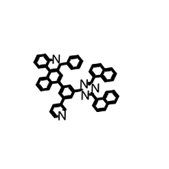 c1ccc(-c2nc3ccccc3c3c2cc(-c2cc(-c4cccnc4)cc(-c4nc(-c5cccc6ccccc56)nc(-c5cccc6ccccc56)n4)c2)c2ccccc23)cc1